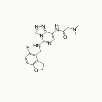 CN(C)CC(=O)Nc1cnc(NCc2c(F)ccc3c2CCO3)n2cnnc12